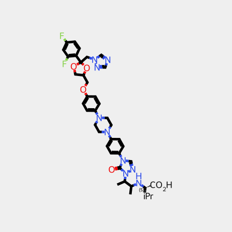 CC(N[C@H](C(=O)O)C(C)C)C(C)n1ncn(-c2ccc(N3CCN(c4ccc(OCC5COC(Cn6cncn6)(c6ccc(F)cc6F)O5)cc4)CC3)cc2)c1=O